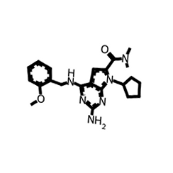 COc1ccccc1CNc1nc(N)nc2c1cc(C(=O)N(C)C)n2C1CCCC1